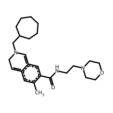 Cc1cc2c(cc1C(=O)NCCN1CCOCC1)=CN(CC1CCCCCC1)CC=2